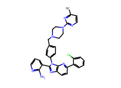 N#Cc1ccnc(N2CCN(Cc3ccc(-n4c(-c5cccnc5N)nc5ccc(-c6ccccc6Cl)nc54)cc3)CC2)n1